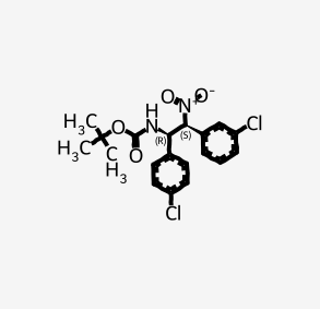 CC(C)(C)OC(=O)N[C@H](c1ccc(Cl)cc1)[C@H](c1cccc(Cl)c1)[N+](=O)[O-]